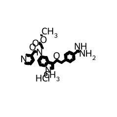 CCOC(=O)CN(C(=O)c1cccnc1)c1ccc2c(c1)c(C(=O)Cc1ccc(C(=N)N)cc1)cn2C.Cl